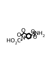 NS(=O)(=O)c1ccc2c(c1)C(=O)C(=O)N2CC(=O)O